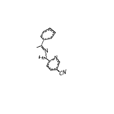 C/C(=N\Nc1ccc(C#N)cn1)c1ccccc1